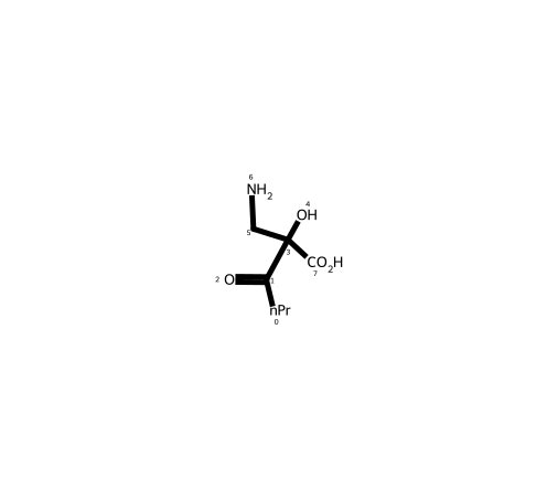 CCCC(=O)C(O)(CN)C(=O)O